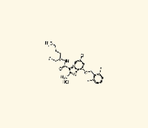 CCCC[C@H](CCl)NC(=O)c1c(C)nc2c(OCc3c(F)cccc3F)cc(Cl)cn12.Cl